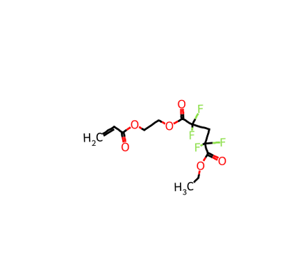 C=CC(=O)OCCOC(=O)C(F)(F)CC(F)(F)C(=O)OCC